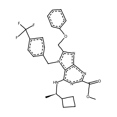 COC(=O)c1nc(N[C@H](C)C2CCC2)c2c(n1)nc(COc1ccccc1)n2Cc1ccc(C(F)(F)F)cc1